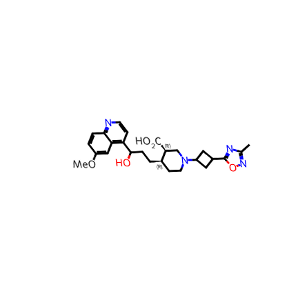 COc1ccc2nccc(C(O)CC[C@@H]3CCN(C4CC(c5nc(C)no5)C4)C[C@@H]3C(=O)O)c2c1